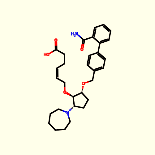 NC(=O)c1ccccc1-c1ccc(CO[C@@H]2CC[C@H](N3CCCCCC3)[C@H]2OC/C=C\CCC(=O)O)cc1